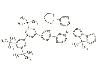 CC(C)(C)c1cc(-c2ccc(-c3cccc(N(c4cccc(C5CCCCC5)c4)c4ccc5c(c4)C(C)(C)c4ccccc4-5)c3)cc2)cc(-c2cc(C(C)(C)C)cc(C(C)(C)C)c2)c1